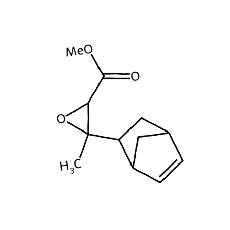 COC(=O)C1OC1(C)C1CC2C=CC1C2